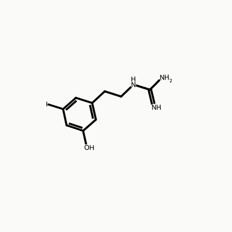 N=C(N)NCCc1cc(O)cc(I)c1